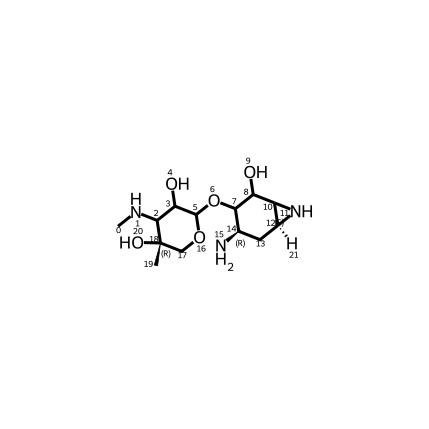 CNC1C(O)C(OC2C(O)C3N[C@H]3C[C@H]2N)OC[C@]1(C)O